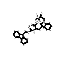 CS(=O)(=O)C(=O)Cn1cc(CC(NC(=O)OCC2c3ccccc3-c3ccccc32)C(=O)O)c2ccccc21